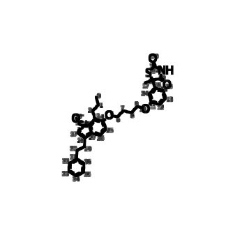 CCCc1c(OCCCCOc2cccc(C3(C)SC(=O)NC3=O)c2)ccc2c(CCc3ccccc3)c[s+]([O-])c12